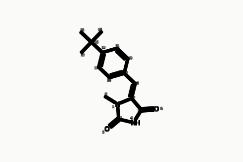 CN1C(=O)NC(=O)C1=Cc1ccc(C(C)(C)C)cc1